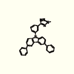 Cn1nnc(-c2cccc(-n3c4ccc(-c5ccccc5)cc4c4cc(-c5ccccc5)ccc43)c2)n1